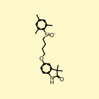 Cc1cc(C)c([S+]([O-])CCCCOc2ccc3c(c2)C(C)(C)C(=O)N3)c(C)c1